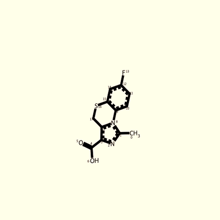 Cc1nc(C(=O)O)c2n1-c1ccc(F)cc1SC2